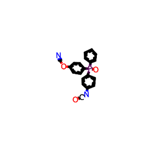 N#COc1ccc(P(=O)(c2ccccc2)c2ccc(N=C=O)cc2)cc1